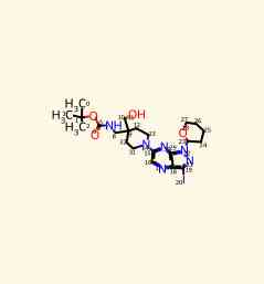 CC(C)(C)OC(=O)NCC1(CO)CCN(c2cnc3c(I)nn(C4CCCCO4)c3n2)CC1